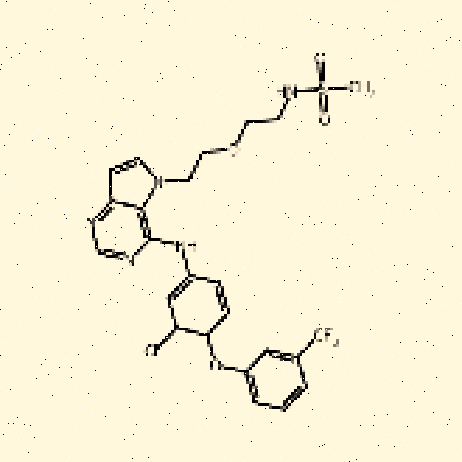 CS(=O)(=O)NCCOCCn1ccc2ncnc(NC3=CC(Cl)C(Oc4cccc(C(F)(F)F)c4)C=C3)c21